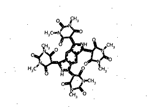 CN1C(=O)C(=c2[nH]c(=C3C(=O)N(C)C(=O)N(C)C3=O)c3cc4c(=C5C(=O)N(C)C(=O)N(C)C5=O)[nH]c(=C5C(=O)N(C)C(=O)N(C)C5=O)c4cc23)C(=O)N(C)C1=O